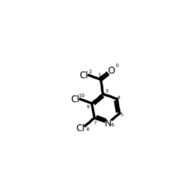 O=C(Cl)c1ccnc(Cl)c1Cl